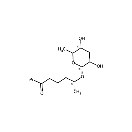 CC(C)C(=O)CCC[C@@H](C)O[C@@H]1OC(C)[C@H](O)CC1O